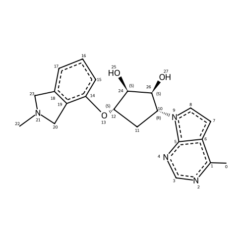 Cc1ncnc2c1ccn2[C@@H]1C[C@H](Oc2cccc3c2CN(C)C3)[C@@H](O)[C@H]1O